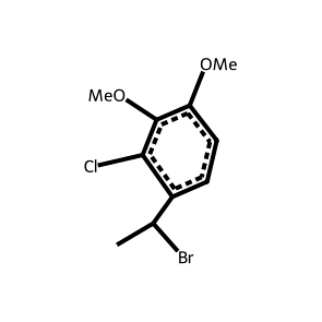 COc1ccc(C(C)Br)c(Cl)c1OC